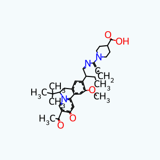 C=C=C(/N=C\C(CC)c1cc2c(cc1OC)-c1cc(=O)c(C(C)=O)cn1C(C(C)(C)C)C2)N1CCC(C(=O)O)CC1